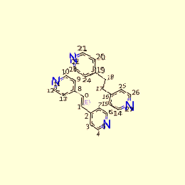 C(=C\c1ccncc1)/c1ccncc1.c1cc(CCc2ccncc2)ccn1